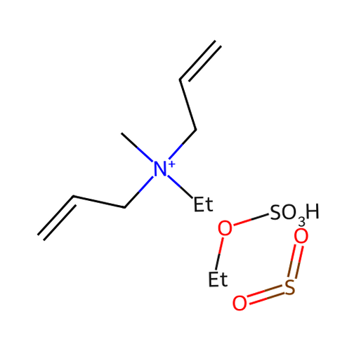 C=CC[N+](C)(CC)CC=C.CCOS(=O)(=O)O.O=S=O